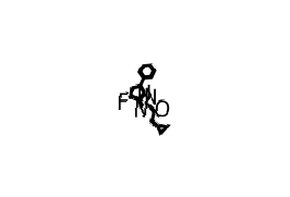 O=C(CC1CC1)c1nc2n(n1)C(c1ccccc1)CC2F